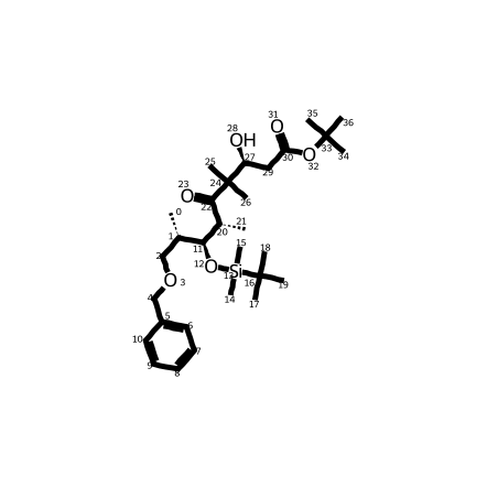 C[C@@H](COCc1ccccc1)[C@H](O[Si](C)(C)C(C)(C)C)[C@@H](C)C(=O)C(C)(C)[C@@H](O)CC(=O)OC(C)(C)C